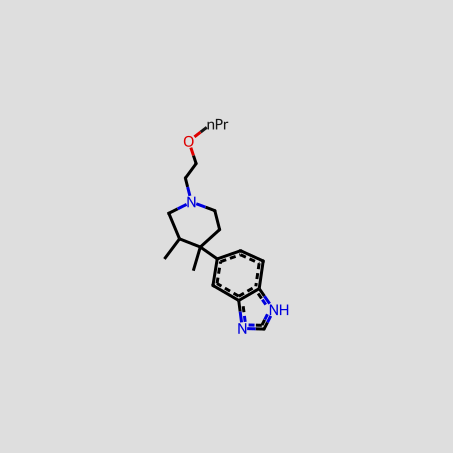 CCCOCCN1CCC(C)(c2ccc3[nH]cnc3c2)C(C)C1